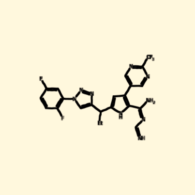 CCC(c1cn(-c2cc(F)ccc2F)nn1)c1cc(-c2cnc(C(F)(F)F)nc2)c(/C(N)=N\C=N)[nH]1